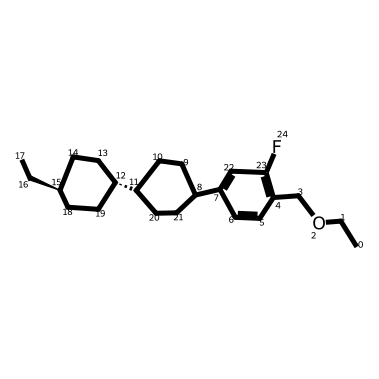 CCOCc1ccc(C2CCC([C@H]3CC[C@H](CC)CC3)CC2)cc1F